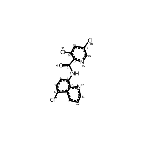 O=C(Nc1ccc(Cl)c2cccnc12)c1ncc(Cl)cc1Cl